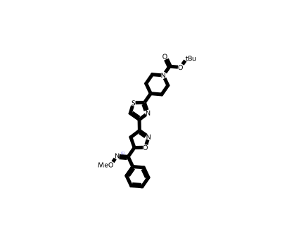 CO/N=C(\c1ccccc1)C1CC(c2csc(C3CCN(C(=O)OC(C)(C)C)CC3)n2)=NO1